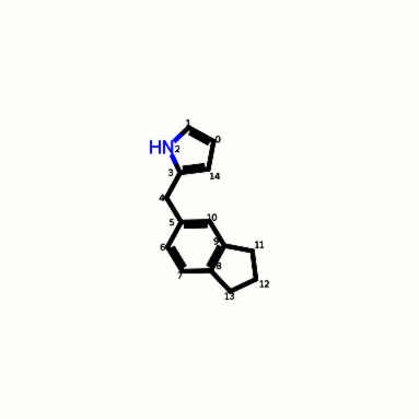 c1c[nH]c(Cc2ccc3c(c2)CCC3)c1